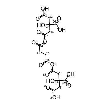 O=C(O)CC(O)(CC(=O)OC(=O)CCC(=O)OC(=O)CC(O)(CC(=O)O)C(=O)O)C(=O)O